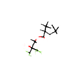 CC(C)(C)CC(C)(C(=O)OC(C)(C)C(O)(C(F)(F)F)C(F)(F)F)C(C)(C)C